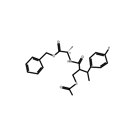 CC(=O)SCC(C(=O)N[C@@H](C)C(=O)OCc1ccccc1)C(C)c1ccc(F)cc1